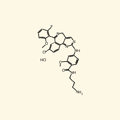 COc1cc(Nc2ncc3c(n2)-c2ccc(Cl)cc2C(c2c(F)cccc2OC)=NC3)ccc1C(=O)NCCCN.Cl